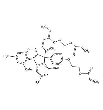 C=CC(=O)OCCOC(/C=C\C(=C)C1(c2ccc(OCCOC(=O)C=C)cc2)c2ccc3cc(C)cc(OC)c3c2-c2cc(C)cc(OC)c21)=C/C